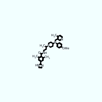 COc1ccc(N(Cc2cnccc2C)C2CCN(C(C)CCNC(=O)c3c(C)cc(-c4ncc[nH]4)cc3C)CC2)cc1